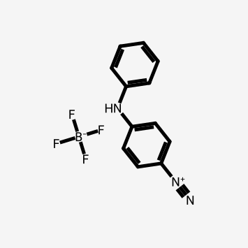 F[B-](F)(F)F.N#[N+]c1ccc(Nc2ccccc2)cc1